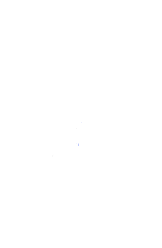 CC(C)(C)OC(=O)N[C@H]1CCc2cc(F)c(Br)cc2NC1=O